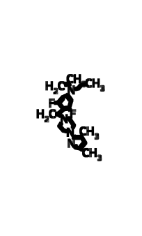 C=C(c1c(F)cc(N(CCC)C(=C)C)cc1F)N1CCN(c2ncc(C)cc2C)CC1